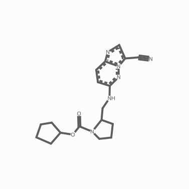 N#Cc1cnc2ccc(NCC3CCCN3C(=O)OC3CCCC3)nn12